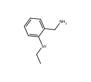 C[CH2][Sn][c]1ccccc1CN